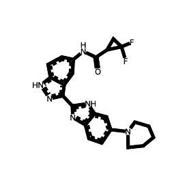 O=C(Nc1ccc2[nH]nc(-c3nc4ccc(N5CCCCC5)cc4[nH]3)c2c1)C1CC1(F)F